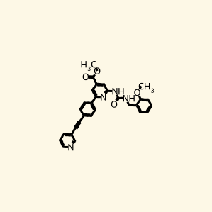 COC(=O)c1cc(NC(=O)NCc2ccccc2OC)nc(-c2ccc(C#Cc3cccnc3)cc2)c1